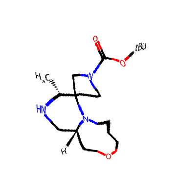 C[C@H]1NC[C@H]2COCCN2C12CN(C(=O)OC(C)(C)C)C2